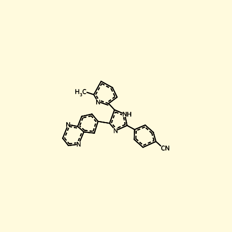 Cc1cccc(-c2[nH]c(-c3ccc(C#N)cc3)nc2-c2ccc3nccnc3c2)n1